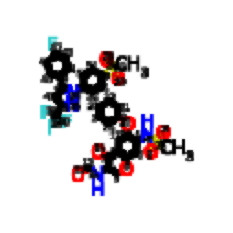 CS(=O)(=O)Nc1cc2occ(NC=O)c(=O)c2cc1Oc1ccccc1.CS(=O)(=O)c1ccc(-n2nc(C(F)(F)F)cc2-c2ccc(F)cc2)cc1